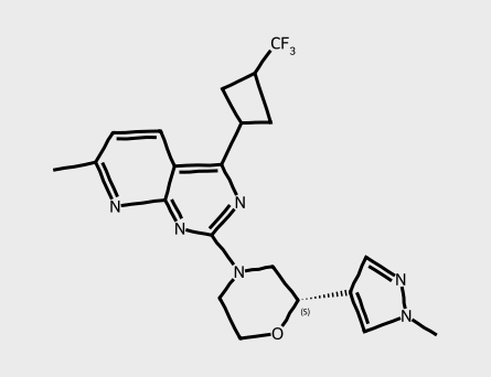 Cc1ccc2c(C3CC(C(F)(F)F)C3)nc(N3CCO[C@@H](c4cnn(C)c4)C3)nc2n1